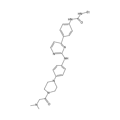 CCNC(=O)Nc1ccc(-c2ccnc(Nc3ccc(N4CCN(C(=O)CN(C)C)CC4)cc3)n2)cc1